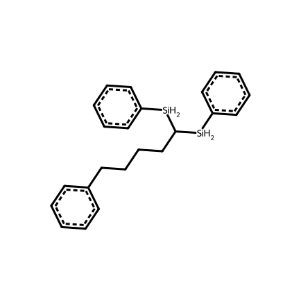 c1ccc(CCCCC([SiH2]c2ccccc2)[SiH2]c2ccccc2)cc1